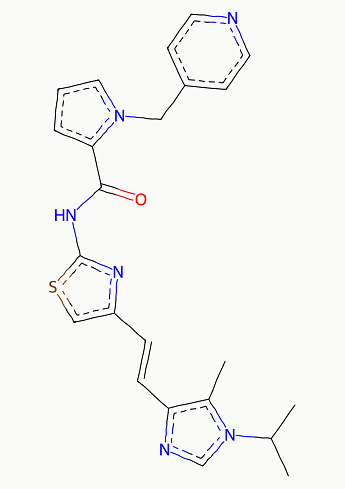 Cc1c(/C=C/c2csc(NC(=O)c3cccn3Cc3ccncc3)n2)ncn1C(C)C